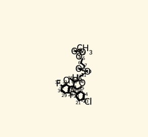 CS(=O)(=O)OCCCS(=O)(=O)CC[C@@H]1OCC[C@@]2(Cc3ccc(Cl)cc3)c3c(F)ccc(F)c3OC[C@@H]12